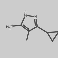 Cc1c(C2CC2)n[nH]c1N